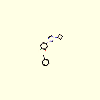 Fc1ccc(N2C=CN(C3CCC3)C2)cc1OCc1ccccc1